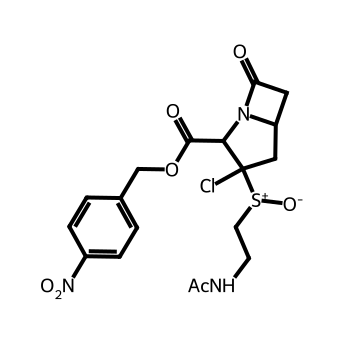 CC(=O)NCC[S+]([O-])C1(Cl)CC2CC(=O)N2C1C(=O)OCc1ccc([N+](=O)[O-])cc1